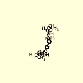 CC(C)(C)OC(=O)NCc1nc2cc(-c3ccc(OCC(O)C(=O)OC(C)(C)C)cc3)ccc2[nH]1